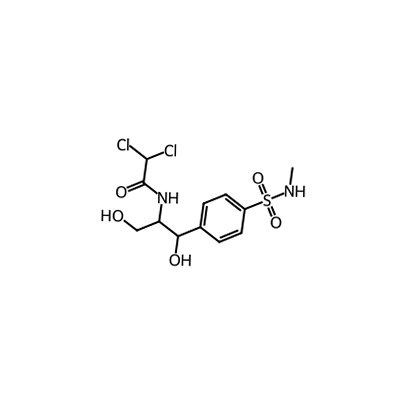 CNS(=O)(=O)c1ccc(C(O)C(CO)NC(=O)C(Cl)Cl)cc1